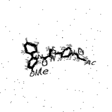 COc1ccc(-c2ccccc2)c(NC(=O)c2csc(C3CCN(C(=O)CCC(C)=O)CC3)n2)c1